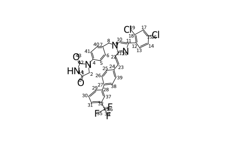 O=C1CN(c2ccc(Cn3cc(-c4ccc(Cl)cc4Cl)nc3C=Cc3ccc(-c4cccc(C(F)(F)F)c4)cc3)cc2)C(=O)N1